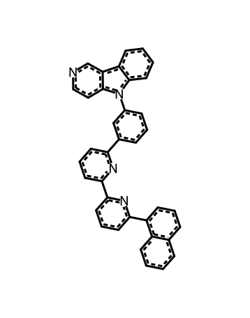 c1cc(-c2cccc(-c3cccc(-c4cccc5ccccc45)n3)n2)cc(-n2c3ccccc3c3cnccc32)c1